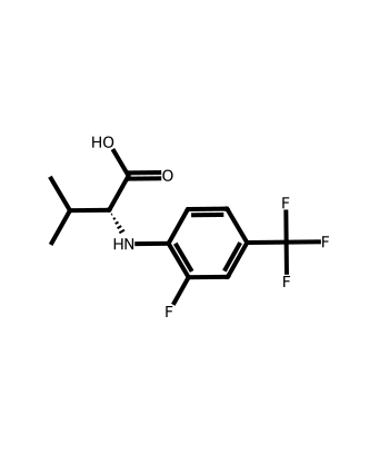 CC(C)[C@@H](Nc1ccc(C(F)(F)F)cc1F)C(=O)O